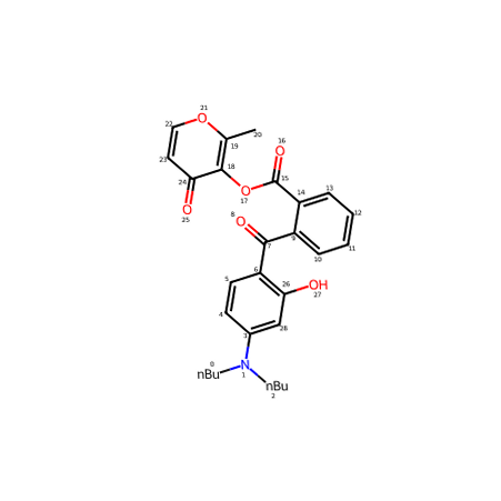 CCCCN(CCCC)c1ccc(C(=O)c2ccccc2C(=O)Oc2c(C)occc2=O)c(O)c1